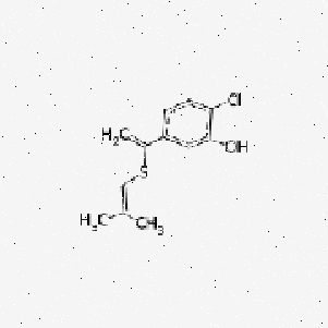 C=C(SC=C(C)C)c1ccc(Cl)c(O)c1